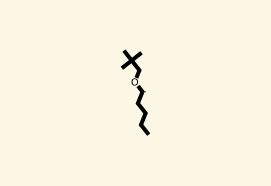 CCCC[CH]OCC(C)(C)C